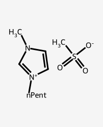 CCCCC[n+]1ccn(C)c1.CS(=O)(=O)[O-]